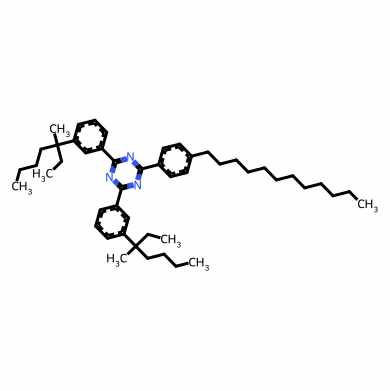 CCCCCCCCCCCCc1ccc(-c2nc(-c3cccc(C(C)(CC)CCCC)c3)nc(-c3cccc(C(C)(CC)CCCC)c3)n2)cc1